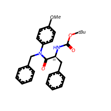 COc1ccc(N(Cc2ccccc2)C(=O)[C@H](Cc2ccccc2)NC(=O)OC(C)(C)C)cc1